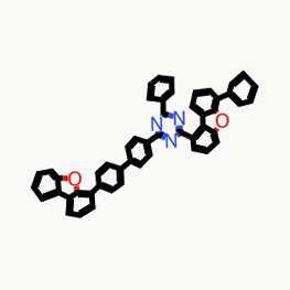 c1ccc(-c2nc(-c3ccc(-c4ccc(-c5cccc6c5oc5ccccc56)cc4)cc3)nc(-c3cccc4oc5c(-c6ccccc6)cccc5c34)n2)cc1